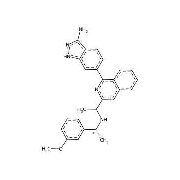 COc1cccc([C@@H](C)NC(C)c2cc3ccccc3c(-c3ccc4c(N)n[nH]c4c3)n2)c1